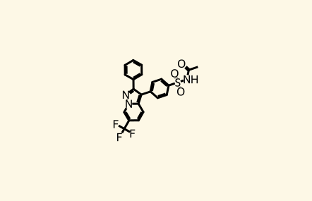 CC(=O)NS(=O)(=O)c1ccc(-c2c(-c3ccccc3)nn3cc(C(F)(F)F)ccc23)cc1